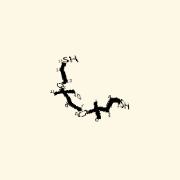 CC(C)(CCS)OCCC(C)(C)OCCS